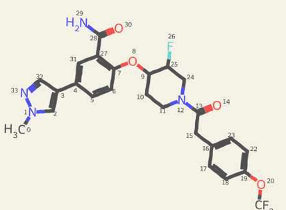 Cn1cc(-c2ccc(OC3CCN(C(=O)Cc4ccc(OC(F)(F)F)cc4)CC3F)c(C(N)=O)c2)cn1